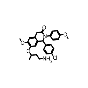 COc1ccc(N2C(=O)Cc3cc(OC)c(OC(C)CCN)cc3C2c2ccc(Cl)cc2)cc1